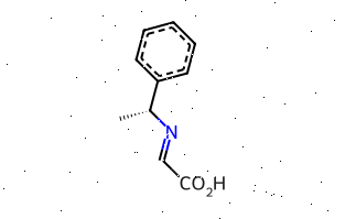 C[C@@H](/N=C/C(=O)O)c1ccccc1